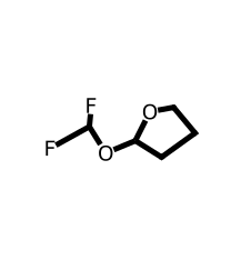 FC(F)OC1CCCO1